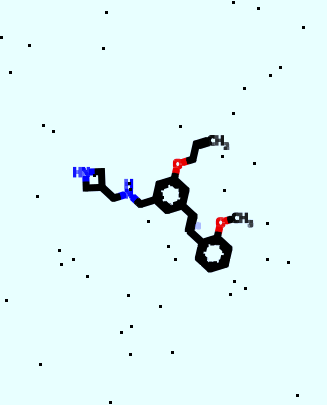 C=CCOc1cc(/C=C/c2ccccc2OC)cc(CNCC2CNC2)c1